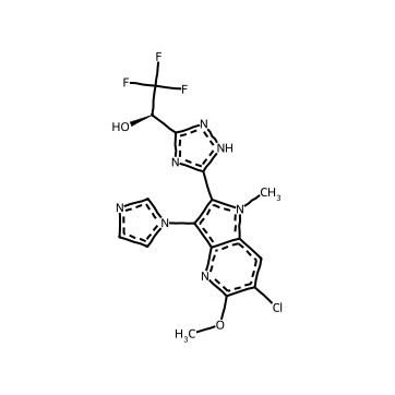 COc1nc2c(-n3ccnc3)c(-c3nc([C@@H](O)C(F)(F)F)n[nH]3)n(C)c2cc1Cl